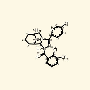 O=C(c1cccc(C(F)(F)F)c1Cl)N1N=C(c2ccc(Cl)cn2)N2C[C@@H]3CCC[C@@H](N3)C21